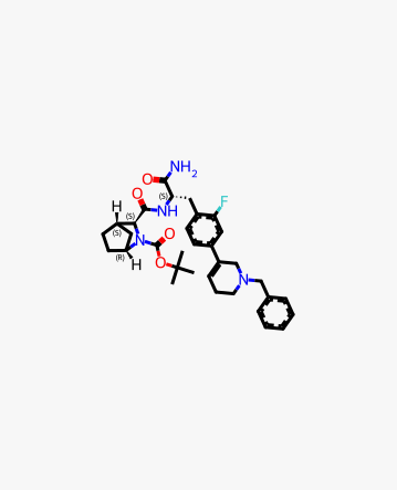 CC(C)(C)OC(=O)N1[C@@H]2CC[C@@H](C2)[C@H]1C(=O)N[C@@H](Cc1ccc(C2=CCCN(Cc3ccccc3)C2)cc1F)C(N)=O